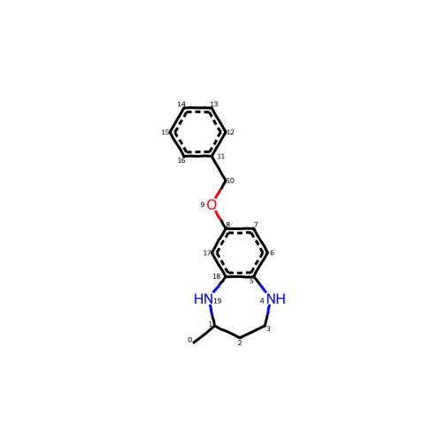 CC1CCNc2ccc(OCc3ccccc3)cc2N1